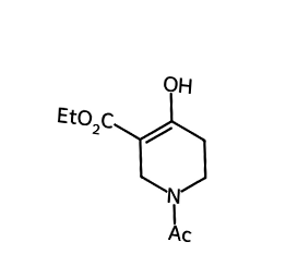 CCOC(=O)C1=C(O)CCN(C(C)=O)C1